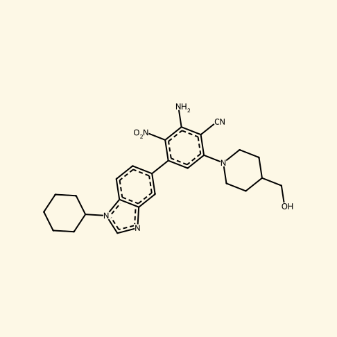 N#Cc1c(N2CCC(CO)CC2)cc(-c2ccc3c(c2)ncn3C2CCCCC2)c([N+](=O)[O-])c1N